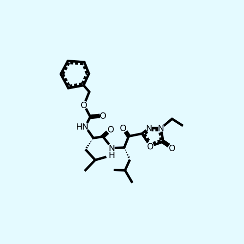 CCn1nc(C(=O)[C@H](CC(C)C)NC(=O)[C@H](CC(C)C)NC(=O)OCc2ccccc2)oc1=O